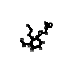 CCCc1c(OCC2CO2)[c]ccc1CC